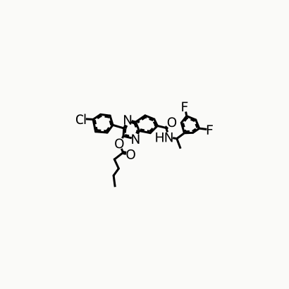 CCCCC(=O)Oc1nc2cc(C(=O)NC(C)c3cc(F)cc(F)c3)ccc2nc1-c1ccc(Cl)cc1